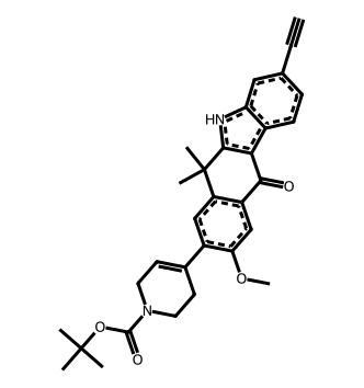 C#Cc1ccc2c3c([nH]c2c1)C(C)(C)c1cc(C2=CCN(C(=O)OC(C)(C)C)CC2)c(OC)cc1C3=O